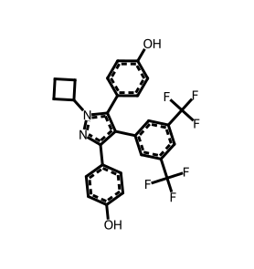 Oc1ccc(-c2nn(C3CCC3)c(-c3ccc(O)cc3)c2-c2cc(C(F)(F)F)cc(C(F)(F)F)c2)cc1